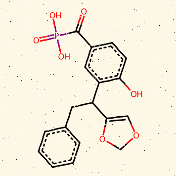 O=C(c1ccc(O)c(C(Cc2ccccc2)C2=COCO2)c1)P(=O)(O)O